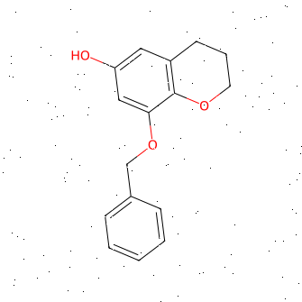 Oc1cc2c(c(OCc3ccccc3)c1)OCCC2